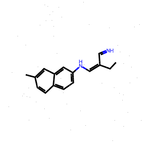 CC/C(C=N)=C/Nc1ccc2ccc(C)cc2c1